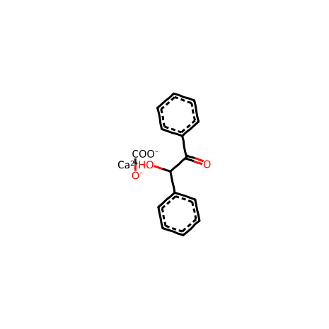 O=C([O-])[O-].O=C(c1ccccc1)C(O)c1ccccc1.[Ca+2]